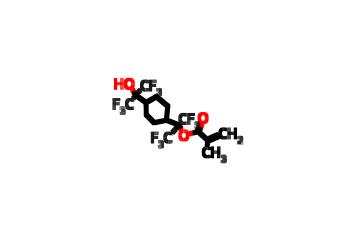 C=C(C)C(=O)OC(C1CCC(C(O)(C(F)(F)F)C(F)(F)F)CC1)(C(F)(F)F)C(F)(F)F